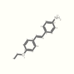 CCOc1ccc(C=Cc2ccc(N)cc2)cc1